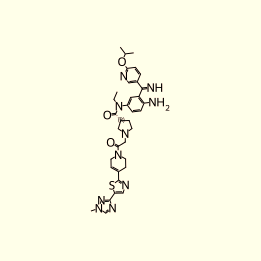 CCN(C(=O)[C@@H]1CCN(CC(=O)N2CC=C(c3ncc(-c4ncn(C)n4)s3)CC2)C1)c1ccc(N)c(C(=N)c2ccc(OC(C)C)nc2)c1